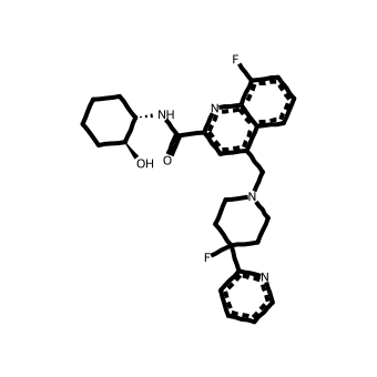 O=C(N[C@H]1CCCC[C@@H]1O)c1cc(CN2CCC(F)(c3ccccn3)CC2)c2cccc(F)c2n1